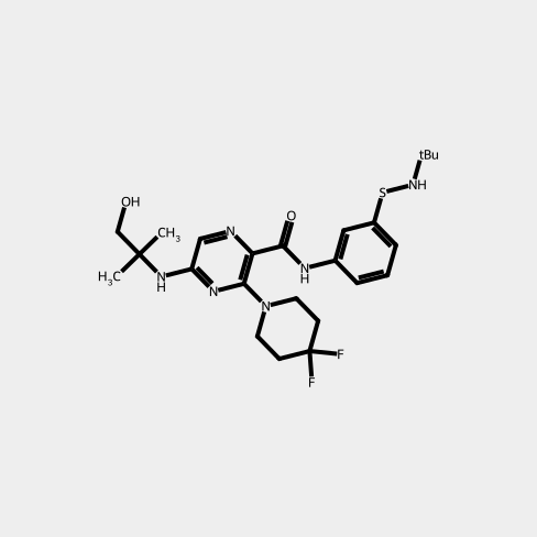 CC(C)(C)NSc1cccc(NC(=O)c2ncc(NC(C)(C)CO)nc2N2CCC(F)(F)CC2)c1